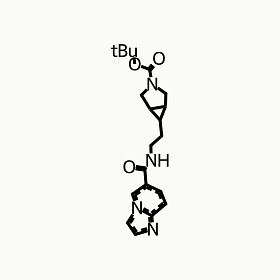 CC(C)(C)OC(=O)N1CC2C(CCNC(=O)c3ccc4nccn4c3)C2C1